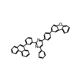 c1ccc(-c2cc(-c3ccc(-c4ccc5oc6ccccc6c5c4)cc3)nc(-c3cccc(-c4cc5ccccc5c5ccccc45)c3)n2)cc1